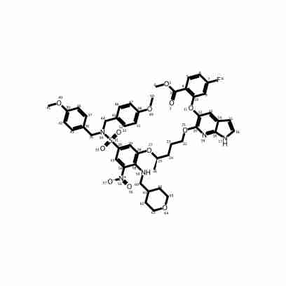 COC(=O)c1ccc(F)cc1Oc1cc2cc[nH]c2nc1OCCC[C@@H](C)Oc1cc(S(=O)(=O)N(Cc2ccc(OC)cc2)Cc2ccc(OC)cc2)cc([N+](=O)[O-])c1NCC1CCOCC1